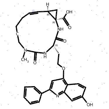 CN1CCCC/C=C\[C@H]2C[C@@]2(C(=O)O)NC(=O)[C@H](CCOc2cc(-c3ccccc3)nc3cc(O)ccc23)NC1=O